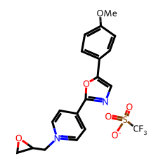 COc1ccc(-c2cnc(-c3cc[n+](CC4CO4)cc3)o2)cc1.O=S(=O)([O-])C(F)(F)F